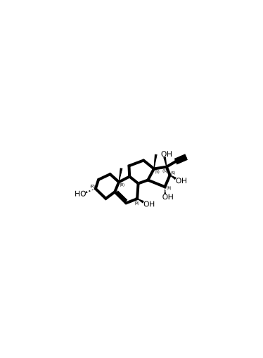 C#C[C@]1(O)[C@@H](O)[C@H](O)C2C3C(CC[C@@]21C)[C@@]1(C)CC[C@@H](O)CC1=C[C@@H]3O